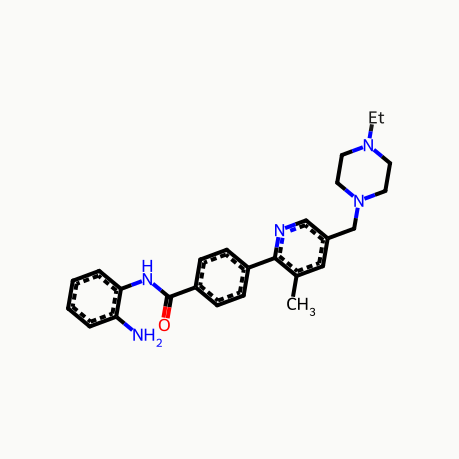 CCN1CCN(Cc2cnc(-c3ccc(C(=O)Nc4ccccc4N)cc3)c(C)c2)CC1